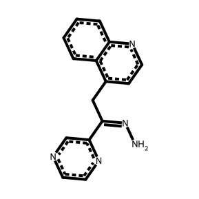 NN=C(Cc1ccnc2ccccc12)c1cnccn1